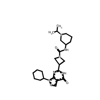 CC(C)N1CCCC(NC(=O)N2CC(c3nc4c(cnn4C4CCCCC4)c(=O)[nH]3)C2)C1